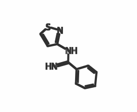 N=C(Nc1ccsn1)c1ccccc1